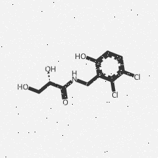 O=C(NCc1c(O)ccc(Cl)c1Cl)[C@@H](O)CO